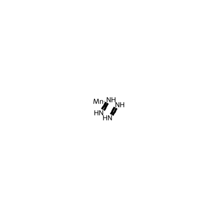 N=N.N=N.[Mn]